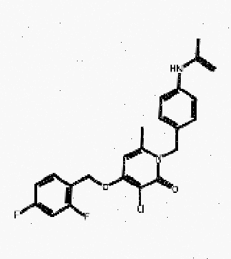 C=C(C)Nc1ccc(Cn2c(C)cc(OCc3ccc(F)cc3F)c(Cl)c2=O)cc1